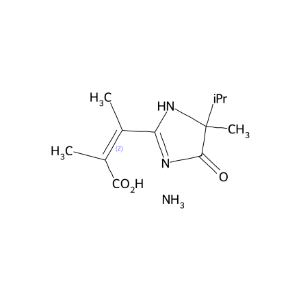 C/C(C(=O)O)=C(\C)C1=NC(=O)C(C)(C(C)C)N1.N